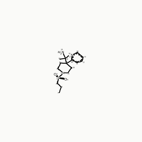 CCCS(=O)(=O)N1CCC(c2ccccn2)(C(C)(C)N)CC1